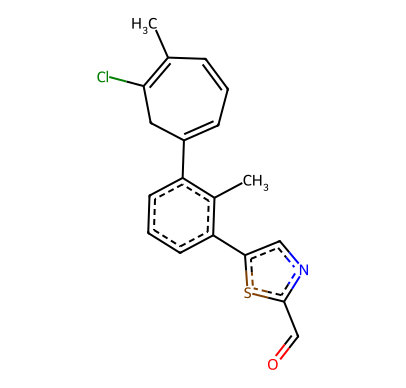 CC1=C(Cl)CC(c2cccc(-c3cnc(C=O)s3)c2C)=CC=C1